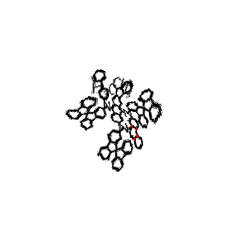 CC1(C)c2ccccc2-c2cc3c(N(c4ccc(-c5ccccc5)cc4)c4cccc5c4-c4ccccc4C54c5ccccc5-c5ccccc54)c4cc(N(c5ccccc5)c5ccc6c(c5)C5(c7ccccc7-c7ccccc75)c5ccccc5-6)ccc4c(N(c4ccc(-c5ccccc5)cc4)c4ccc5c(c4)C4(c6ccccc6-c6ccccc64)c4ccccc4-5)c3cc21